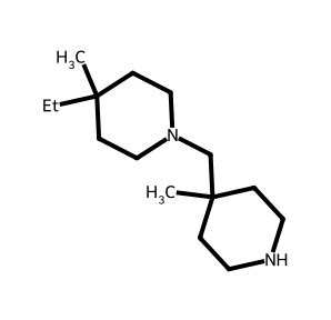 CCC1(C)CCN(CC2(C)CCNCC2)CC1